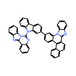 c1ccc2c(c1)ccc1c2c2ccc(-c3ccc4c5ccccc5n(-c5nc6ccccc6c6nc7ccccc7n56)c4c3)cc2n2c3ccccc3nc12